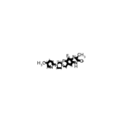 Cc1ccc(N2CCN(Cc3cc4[nH]c(=O)c(C)nc4c(F)c3F)CC2)nc1